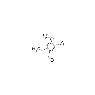 CCc1cc(OC)c(C2CC2)cc1C=O